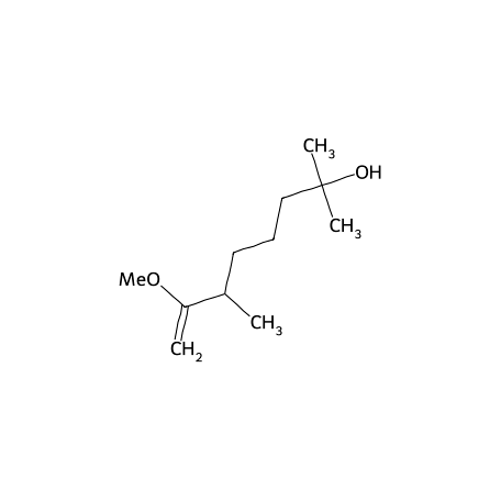 C=C(OC)C(C)CCCC(C)(C)O